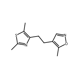 Cc1nc(CCc2cnoc2C)c(C)s1